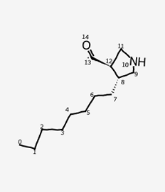 CCCCCCCC[C@H]1CNC[C@@H]1[C]=O